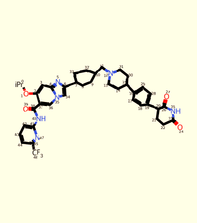 CC(C)Oc1cc2nc(C3CCC(CN4CCC(c5ccc(C6CCC(=O)NC6=O)cc5)CC4)CC3)cn2cc1C(=O)Nc1cccc(C(F)(F)F)n1